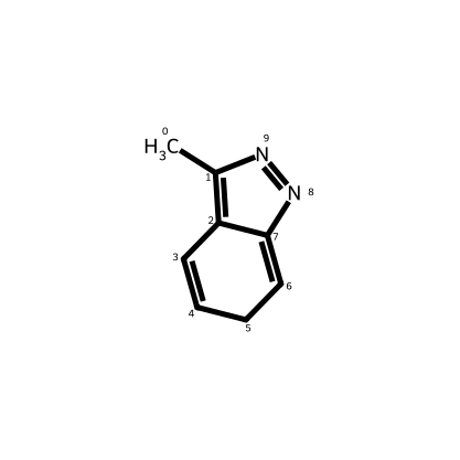 CC1=C2C=CCC=C2N=N1